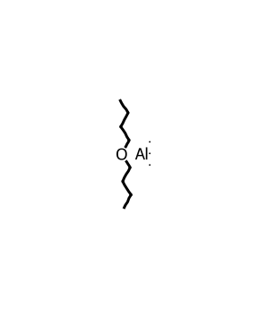 CCCCOCCCC.[Al]